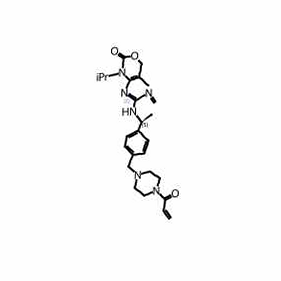 C=CC(=O)N1CCN(Cc2ccc([C@H](C)N/C(N=C)=N/C3=C(C)COC(=O)N3C(C)C)cc2)CC1